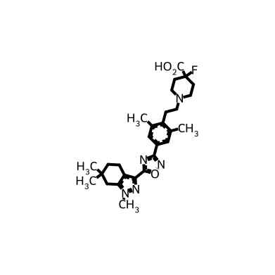 Cc1cc(-c2noc(-c3nn(C)c4c3CCC(C)(C)C4)n2)cc(C)c1CCN1CCC(F)(C(=O)O)CC1